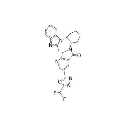 Cc1nc2ccccc2n1[C@@H]1CCCC[C@H]1N1Cc2ncc(-c3nnc(C(F)F)o3)cc2C1=O